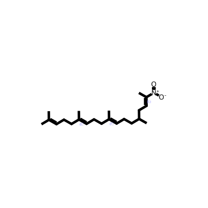 CC(C)=CCC/C(C)=C/CC/C(C)=C/CCC(C)C/C=C(\C)[N+](=O)[O-]